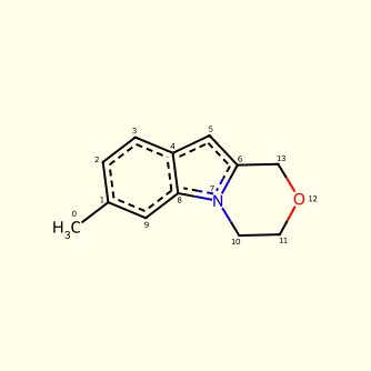 Cc1ccc2cc3n(c2c1)CCOC3